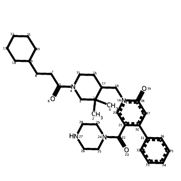 CC1(C)CN(C(=O)CCC2CCCCC2)CCC1Cn1cc(C(=O)N2CCNCC2)c(-c2ccccc2)cc1=O